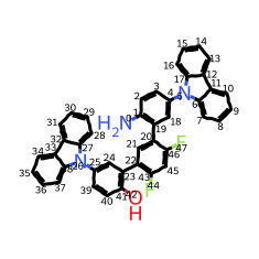 Nc1ccc(-n2c3ccccc3c3ccccc32)cc1-c1cc(-c2cc(-n3c4ccccc4c4ccccc43)ccc2O)c(F)cc1F